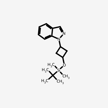 CC(C)(C)[Si](C)(C)OC1CC(n2ncc3ccccc32)C1